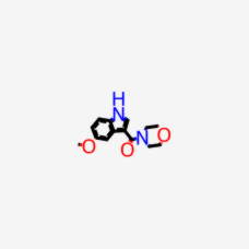 COc1ccc2[nH]cc(C(=O)N3CCOCC3)c2c1